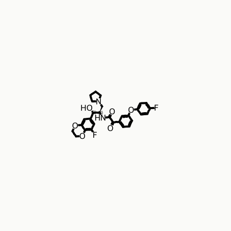 O=C(N[C@H](CN1CCCC1)[C@H](O)c1cc(F)c2c(c1)OCCO2)C(=O)c1cccc(Oc2ccc(F)cc2)c1